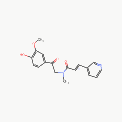 COc1cc(C(=O)CN(C)C(=O)/C=C/c2cccnc2)ccc1O